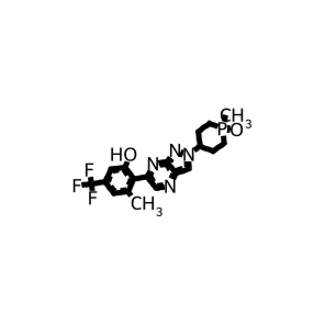 Cc1cc(C(F)(F)F)cc(O)c1-c1cnc2cn(C3CCP(C)(=O)CC3)nc2n1